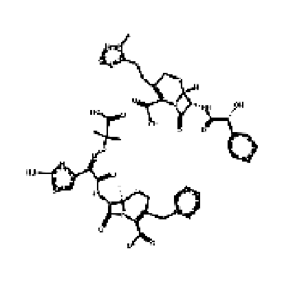 CC(C)(O/N=C(\C(=O)N[C@@H]1C(=O)N2C(C(=O)[O-])=C(C[n+]3ccccc3)CS[C@H]12)c1csc(N)n1)C(=O)O.Cn1nnnc1SCC1=C(C(=O)O)N2C(=O)[C@@H](NC(=O)[C@H](O)c3ccccc3)[C@H]2SC1